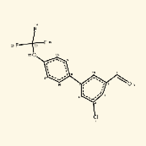 O=Cc1cc(Cl)cc(-c2ccc(OC(F)(F)F)cc2)c1